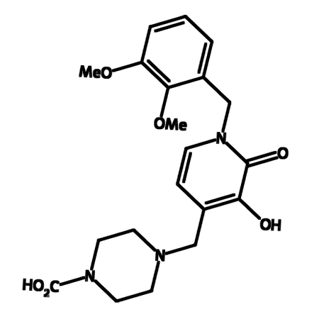 COc1cccc(Cn2ccc(CN3CCN(C(=O)O)CC3)c(O)c2=O)c1OC